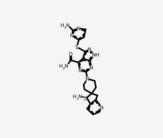 NC(=O)c1nc(N2CCC3(CC2)Cc2ncccc2[C@H]3N)nc2[nH]nc(Sc3ccnc(N)n3)c12